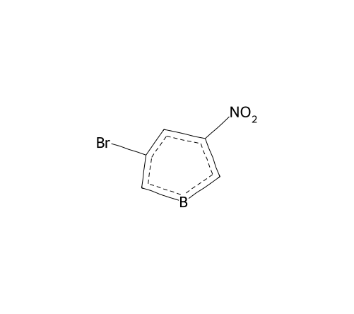 O=[N+]([O-])c1cbcc(Br)c1